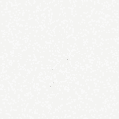 [CH2]Cc1ccccc1OC1=CCCCCC1